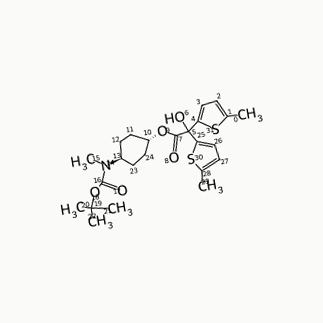 Cc1ccc(C(O)(C(=O)O[C@H]2CC[C@H](N(C)C(=O)OC(C)(C)C)CC2)c2ccc(C)s2)s1